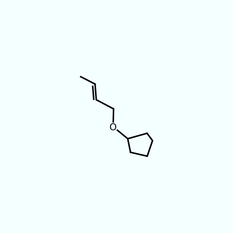 CC=CCOC1CCCC1